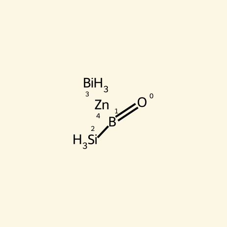 O=B[SiH3].[BiH3].[Zn]